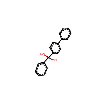 OC(O)(c1ccccc1)c1ccc(-c2ccccc2)cc1